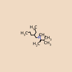 C=C(C(C)C)N(C)CC(CCC)CCC